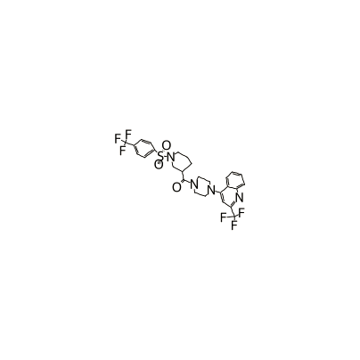 O=C(C1CCCN(S(=O)(=O)c2ccc(C(F)(F)F)cc2)C1)N1CCN(c2cc(C(F)(F)F)nc3ccccc23)CC1